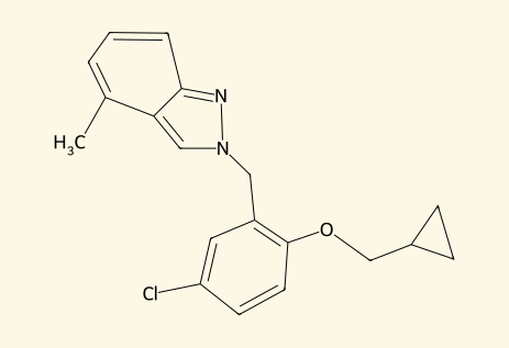 Cc1cccc2nn(Cc3cc(Cl)ccc3OCC3CC3)cc12